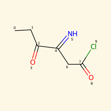 CCC(=O)C(=N)CC(=O)Cl